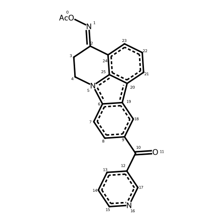 CC(=O)O/N=C1\CCn2c3ccc(C(=O)c4cccnc4)cc3c3cccc1c32